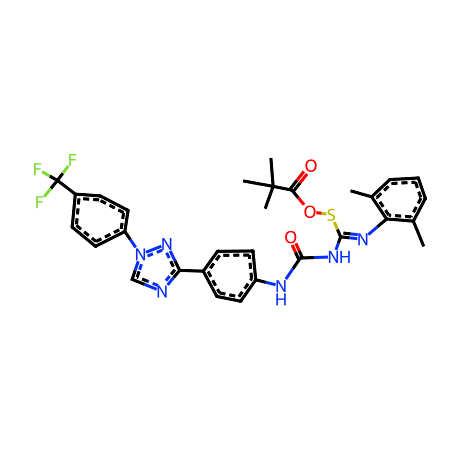 Cc1cccc(C)c1N=C(NC(=O)Nc1ccc(-c2ncn(-c3ccc(C(F)(F)F)cc3)n2)cc1)SOC(=O)C(C)(C)C